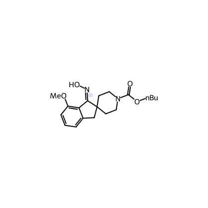 CCCCOC(=O)N1CCC2(CC1)Cc1cccc(OC)c1/C2=N\O